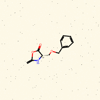 C=C1N[C@@H](COCc2ccccc2)C(=O)O1